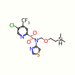 C[SiH](C)CCOCN(c1cscn1)S(=O)(=O)c1cc(C(F)(F)F)c(Cl)cn1